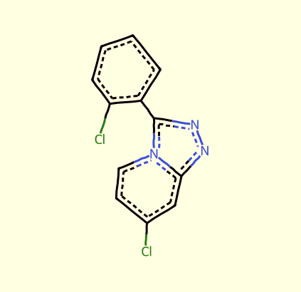 Clc1ccn2c(-c3ccccc3Cl)nnc2c1